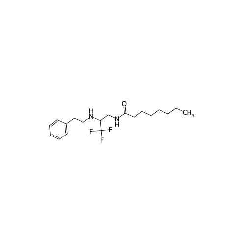 CCCCCCCC(=O)NCC(NCCc1ccccc1)C(F)(F)F